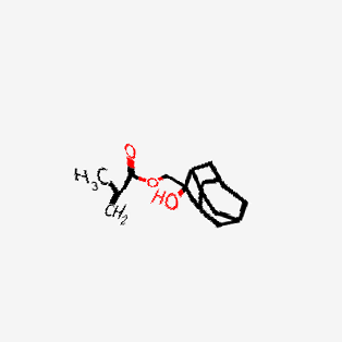 C=C(C)C(=O)OCC1(O)C2CC3CC(C2)CC1C3